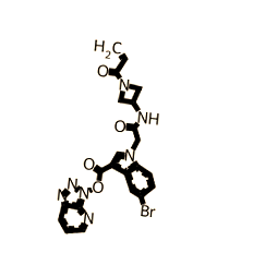 C=CC(=O)N1CC(NC(=O)Cn2cc(C(=O)On3nnc4cccnc43)c3cc(Br)ccc32)C1